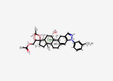 CCC(=O)OCC(=O)[C@@]1(OC(=O)CC)[C@@H](C)C[C@H]2[C@@H]3CCC4=Cc5c(cnn5-c5cccc(C(=O)O)c5)C[C@]4(C)[C@@]3(Cl)[C@@H](O)C[C@@]21C